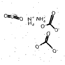 O=C([O-])[O-].O=C([O-])[O-].[NH4+].[NH4+].[O]=[U+2]=[O]